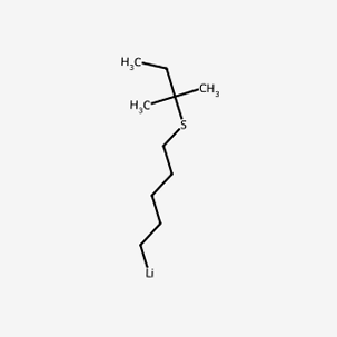 [Li][CH2]CCCCSC(C)(C)CC